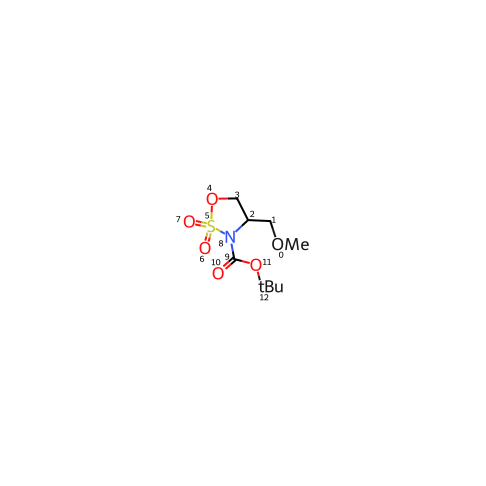 COCC1COS(=O)(=O)N1C(=O)OC(C)(C)C